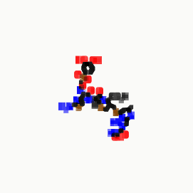 CC1=NC2=CN(C(=O)NO)NN2C(SCC2=C(C(=O)O)N3C(=O)[C@@H](NC(=O)/C(=N\OCS(=O)(=O)c4ccc(O)c(O)c4)c4csc(N)n4)[C@H]3SC2)=C1